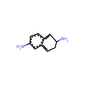 Nc1ccc2c(c1)=CCC(N)C=2